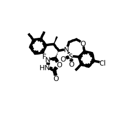 Cc1ccc(F)c([C@@H](C)[C@@H](c2n[nH]c(=O)o2)N2CCOc3cc(Cl)cc(C)c3S2(=O)=O)c1C